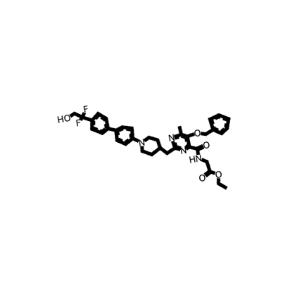 CCOC(=O)CNC(=O)c1nc(CC2CCN(c3ccc(-c4ccc(C(F)(F)CO)cc4)cc3)CC2)nc(C)c1OCc1ccccc1